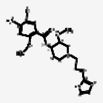 COc1cc(N)c(Cl)cc1C(=O)NC1CCN(CCNc2nccs2)CC1OC